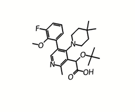 COc1c(F)cccc1-c1cnc(C)c(C(OC(C)(C)C)C(=O)O)c1N1CCC(C)(C)CC1